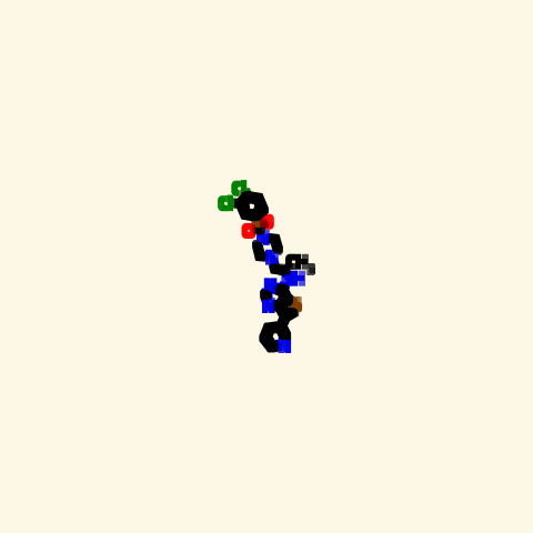 C[C@@H](CN1CCN(S(=O)(=O)c2ccc(Cl)c(Cl)c2)CC1)Nc1ncnc2c(-c3cccnc3)csc12